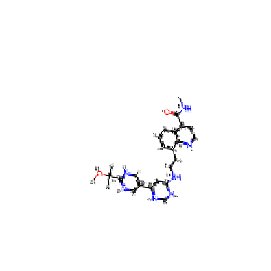 CNC(=O)c1ccnc2c(CCNc3cc(-c4cnc(C(C)(C)OC)nc4)ncn3)cccc12